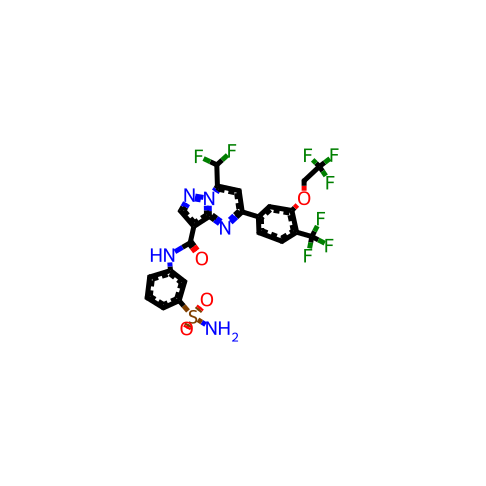 NS(=O)(=O)c1cccc(NC(=O)c2cnn3c(C(F)F)cc(-c4ccc(C(F)(F)F)c(OCC(F)(F)F)c4)nc23)c1